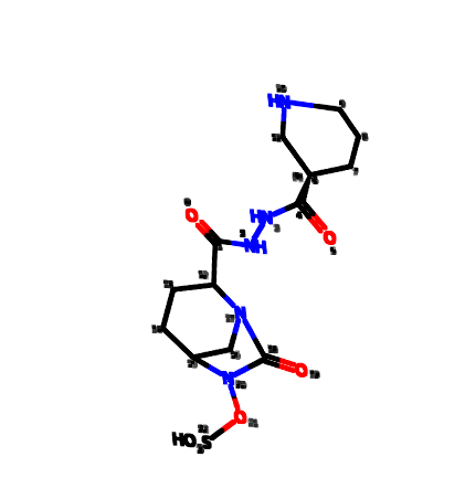 O=C(NNC(=O)[C@@H]1CCCNC1)C1CCC2CN1C(=O)N2OS(=O)(=O)O